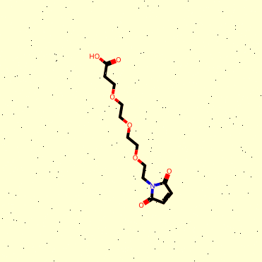 O=C(O)CCOCCOCCOCCN1C(=O)C=CC1=O